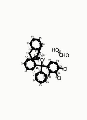 CC(C)c1c(C(Oc2c3cnc4c(cccc24)C3)(c2ccccc2)c2ccccc2)ccc(Cl)c1Cl.O=CO